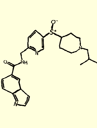 CC(C)CN1CCC([S+]([O-])c2ccc(CNC(=O)C3=CC4C=CN=C4C=C3)nc2)CC1